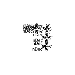 CCCCCCCCCCS(CCCCCCCCCC)=P([O-])([O-])[S-].CCCCCCCCCCS(CCCCCCCCCC)=P([O-])([O-])[S-].CCCCCCCCCCS(CCCCCCCCCC)=P([O-])([O-])[S-].CCCCCCCCCCS(CCCCCCCCCC)=P([O-])([O-])[S-].[Mo+4].[Mo+4].[Mo+4]